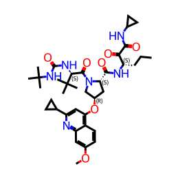 CCC[C@H](NC(=O)[C@@H]1C[C@@H](Oc2cc(C3CC3)nc3cc(OC)ccc23)CN1C(=O)[C@@H](NC(=O)NC(C)(C)C)C(C)(C)C)C(=O)C(=O)NC1CC1